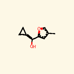 Cc1coc(C(O)=C2CC2)c1